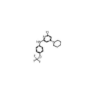 FC(F)(F)Oc1ccc(Nc2cc(N3CCCCC3)cc(Cl)n2)cc1